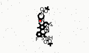 COCc1c(C)c(-c2ccc(F)c3sc(NC(=O)OC(C)(C)C)c(C#N)c23)c(Cl)c2nc(SC)cc(N3CC4CCN(C(=O)OC(C)(C)C)CC3C4)c12